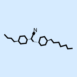 CCCCCCC[C@H]1CC[C@H](CC(C#N)[C@H]2CC[C@H](CCCC)CC2)CC1